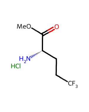 COC(=O)[C@@H](N)CCC(F)(F)F.Cl